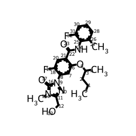 CCCC(C)Oc1cc(-n2nc(CO)n(C)c2=O)c(F)cc1C(=O)Nc1c(C)cccc1F